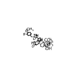 COc1ccc(Cc2nnc(-c3cnn4c(C5CCN(C(=O)O)C(C(C)(C)C)C5)cc(=O)[nH]c34)o2)cc1F